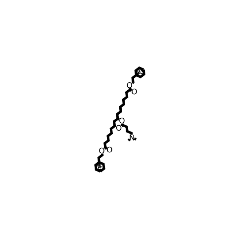 CN(C)CCCC(=O)OC(CCCCCCCC(=O)OCCC12CCC(CC1)CC2)CCCCCCCC(=O)OCCC12CCC(CC1)CC2